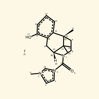 C[n+]1ccn(C(=O)N2CC[C@@]3(C)c4cccc(O)c4C[C@@H]2C3(C)C)c1.[I-]